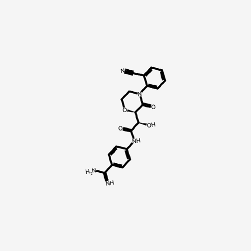 N#Cc1ccccc1N1CCO[C@H]([C@@H](O)C(=O)Nc2ccc(C(=N)N)cc2)C1=O